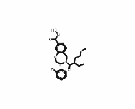 CCC(CCOC)C(=O)N1Cc2ccc(C(=O)NO)cc2OC[C@H]1c1ccccc1F